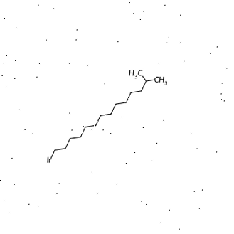 CC(C)CCCCCCCCCCC[CH2][Ir]